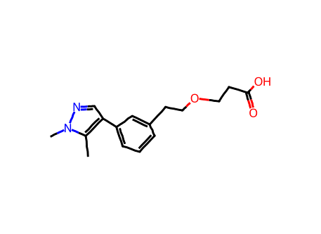 Cc1c(-c2cccc(CCOCCC(=O)O)c2)cnn1C